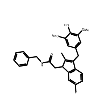 COc1cc(CC2=C(C)C(CC(=O)NCc3ccccc3)c3cc(F)ccc32)cc(OC)c1O